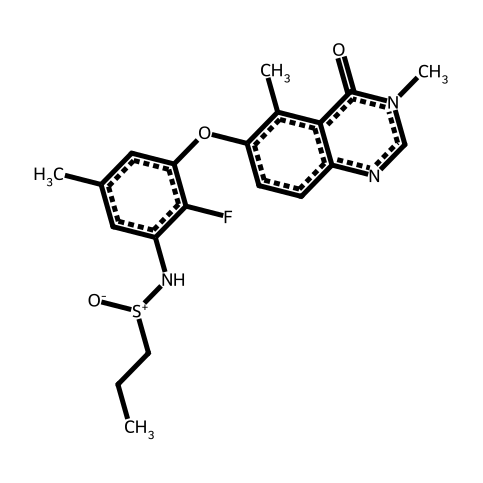 CCC[S+]([O-])Nc1cc(C)cc(Oc2ccc3ncn(C)c(=O)c3c2C)c1F